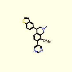 COc1c(-c2cncnc2)ccc2c1CN(C)CC2c1ccc2sccc2c1